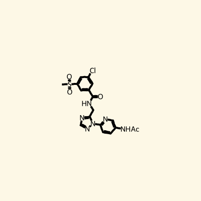 CC(=O)Nc1ccc(-n2ncnc2CNC(=O)c2cc(Cl)cc(S(C)(=O)=O)c2)nc1